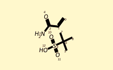 C=CC(N)=O.CC(C)(C)S(=O)(=O)O